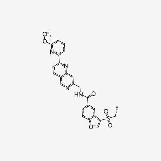 O=C(NCc1cc2nc(-c3cccc(OC(F)(F)F)n3)ccc2cn1)c1ccc2occ(S(=O)(=O)CF)c2c1